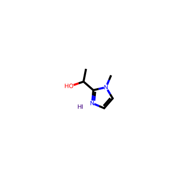 CC(O)c1nccn1C.I